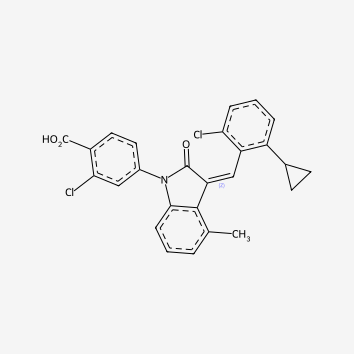 Cc1cccc2c1/C(=C/c1c(Cl)cccc1C1CC1)C(=O)N2c1ccc(C(=O)O)c(Cl)c1